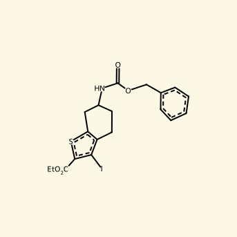 CCOC(=O)c1sc2c(c1I)CCC(NC(=O)OCc1ccccc1)C2